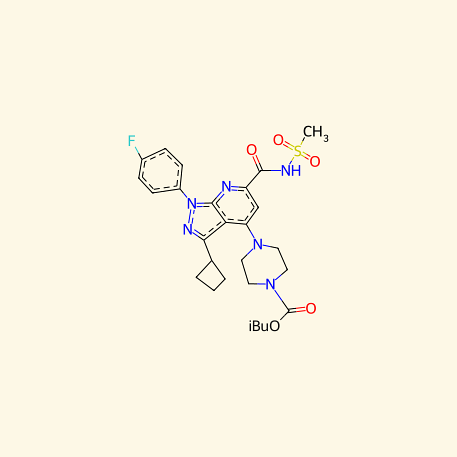 CC(C)COC(=O)N1CCN(c2cc(C(=O)NS(C)(=O)=O)nc3c2c(C2CCC2)nn3-c2ccc(F)cc2)CC1